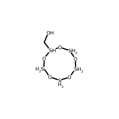 OC[SiH]1O[SiH2]O[SiH2]O[SiH2]O[SiH2]O1